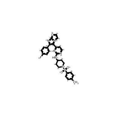 Cc1ccc(S(=O)(=O)N2CCC(Nc3nccc(-c4c(-c5ccc(F)cc5)nc5occn45)n3)CC2)cc1